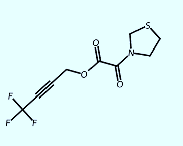 O=C(OCC#CC(F)(F)F)C(=O)N1CCSC1